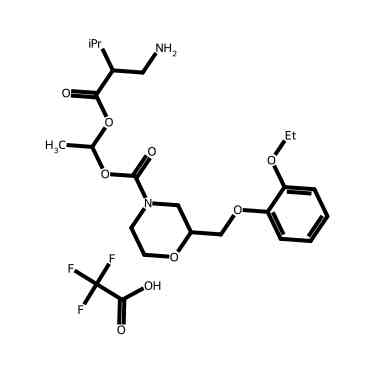 CCOc1ccccc1OCC1CN(C(=O)OC(C)OC(=O)C(CN)C(C)C)CCO1.O=C(O)C(F)(F)F